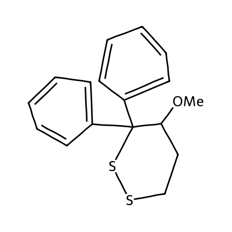 COC1CCSSC1(c1ccccc1)c1ccccc1